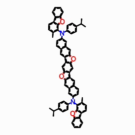 Cc1ccc2c(oc3ccccc32)c1N(c1ccc(C(C)C)cc1)c1ccc2cc3c(cc2c1)oc1cc2c(cc13)oc1cc3cc(N(c4ccc(C(C)C)cc4)c4c(C)ccc5c4oc4ccccc45)ccc3cc12